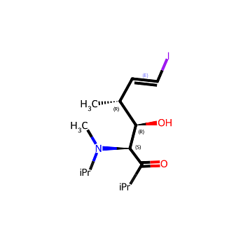 CC(C)C(=O)[C@H]([C@H](O)[C@H](C)/C=C/I)N(C)C(C)C